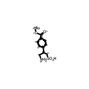 CC(C)(C)OC(=O)c1ccc(C(CN)CS(=O)(=O)O)cc1